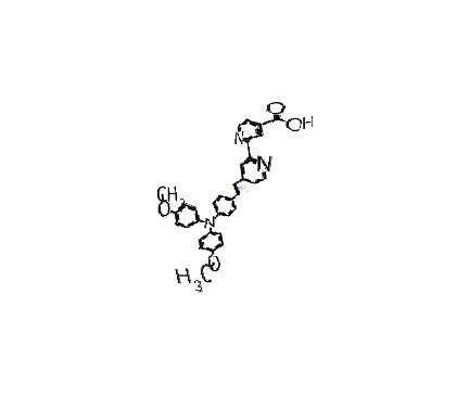 COc1ccc(N(c2ccc(/C=C/c3ccnc(-c4cc(C(=O)O)ccn4)c3)cc2)c2ccc(OC)cc2)cc1